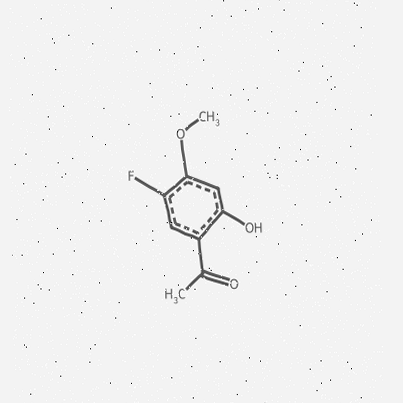 COc1cc(O)c(C(C)=O)cc1F